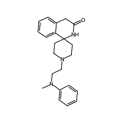 CN(CCN1CCC2(CC1)NC(=O)Cc1ccccc12)c1ccccc1